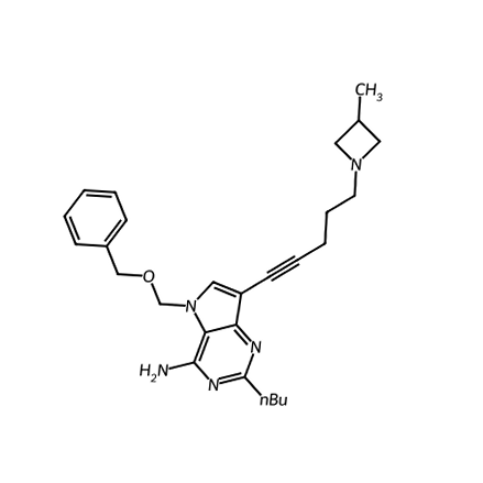 CCCCc1nc(N)c2c(n1)c(C#CCCCN1CC(C)C1)cn2COCc1ccccc1